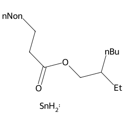 CCCCCCCCCCCC(=O)OCC(CC)CCCC.[SnH2]